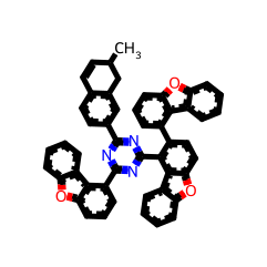 CC1C=Cc2ccc(-c3nc(-c4cccc5oc6ccccc6c45)nc(-c4c(-c5cccc6oc7ccccc7c56)ccc5oc6ccccc6c45)n3)cc2C1